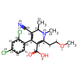 COCCC1=C(C(=O)O)C(c2ccc(Cl)cc2Cl)=C(C#N)C(C)N1C